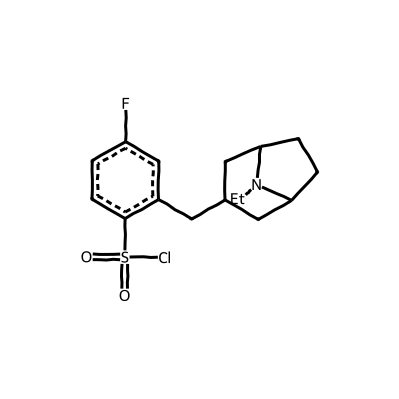 CCN1C2CCC1CC(Cc1cc(F)ccc1S(=O)(=O)Cl)C2